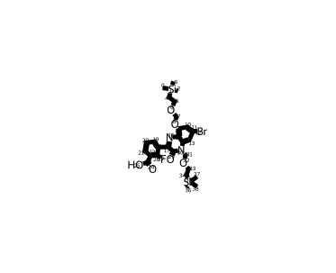 C[Si](C)(C)CCOCOc1cc(Br)cc2c1nc(-c1cccc(C(=O)O)c1F)c(=O)n2COCC[Si](C)(C)C